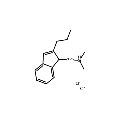 CCCC1=Cc2ccccc2[CH]1[Zr+2][SiH](C)C.[Cl-].[Cl-]